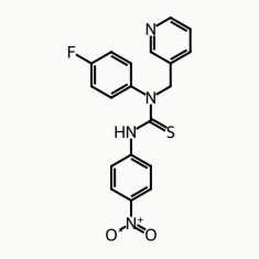 O=[N+]([O-])c1ccc(NC(=S)N(Cc2cccnc2)c2ccc(F)cc2)cc1